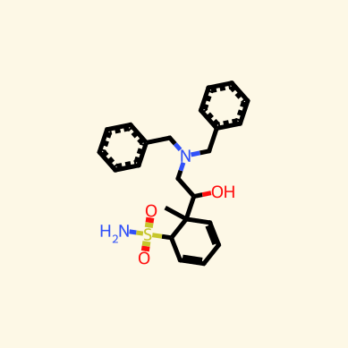 CC1(C(O)CN(Cc2ccccc2)Cc2ccccc2)C=CC=CC1S(N)(=O)=O